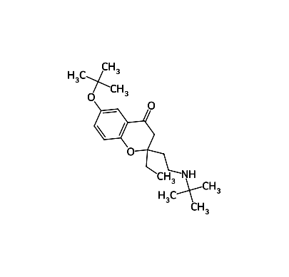 CCC1(CCNC(C)(C)C)CC(=O)c2cc(OC(C)(C)C)ccc2O1